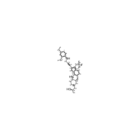 COc1cc(SC)ccc1NCC#Cc1cc2c(NC3CCN(CC(C)O)CC3F)cccc2n1CC(F)(F)F